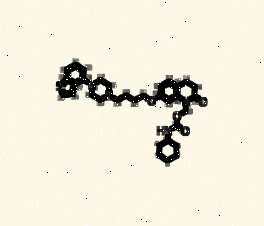 O=C(NC1CCCCC1)OCN1C(=O)CCc2ccc(OCCCCN3CCN(c4cccc5sccc45)CC3)cc21